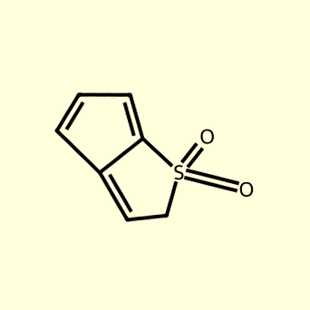 O=S1(=O)CC=C2C=CC=C21